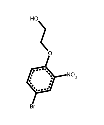 O=[N+]([O-])c1cc(Br)ccc1OCCO